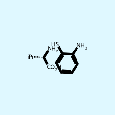 CC(C)[C@H](N)C(=O)O.Nc1ccccc1S